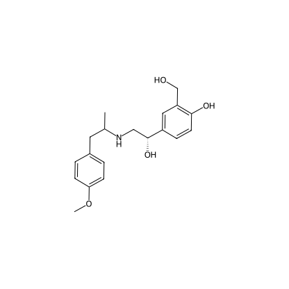 COc1ccc(CC(C)NC[C@@H](O)c2ccc(O)c(CO)c2)cc1